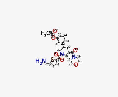 NCc1ccc(S(=O)(=O)N2C[C@@H](C(=O)N3CCOCC3)C[C@@H](c3cccc(OC(=O)C(F)(F)F)c3)C2)s1